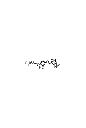 CC(C)NCC(O)COc1ccc(OCCO[N+](=O)[O-])cc1.Cl